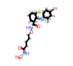 O=C(CCCCONC(=O)c1cccc(F)c1Nc1ccc(I)cc1F)NO